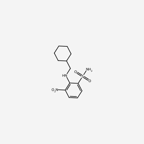 NS(=O)(=O)c1cccc([N+](=O)[O-])c1NCC1CCCCC1